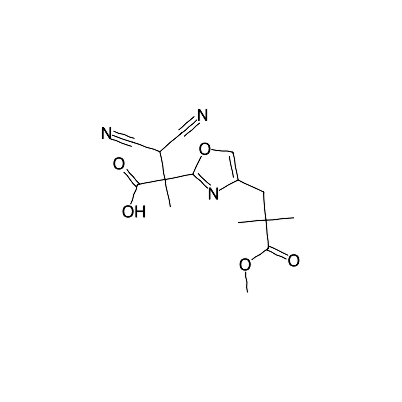 COC(=O)C(C)(C)Cc1coc(C(C)(C(=O)O)C(C#N)C#N)n1